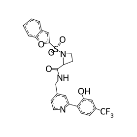 O=C(NCc1ccnc(-c2ccc(C(F)(F)F)cc2O)c1)C1CCN1S(=O)(=O)c1cc2ccccc2o1